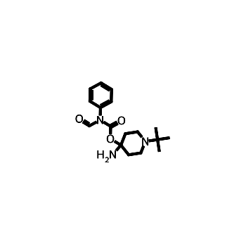 CC(C)(C)N1CCC(N)(OC(=O)N(C=O)c2ccccc2)CC1